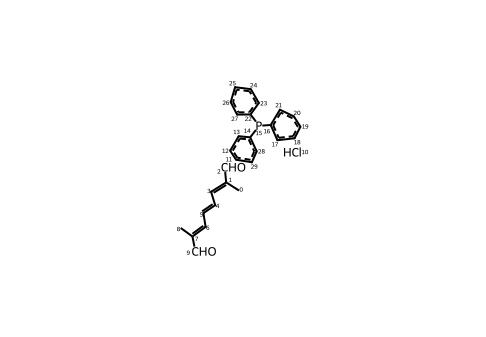 C\C(C=O)=C/C=C/C=C(\C)C=O.Cl.c1ccc(P(c2ccccc2)c2ccccc2)cc1